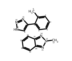 Cc1ccccc1-c1c[nH]nn1.Cn1nc2ccccc2n1